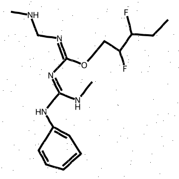 CCC(F)C(F)COC(/N=C(\NC)Nc1ccccc1)=N/CNC